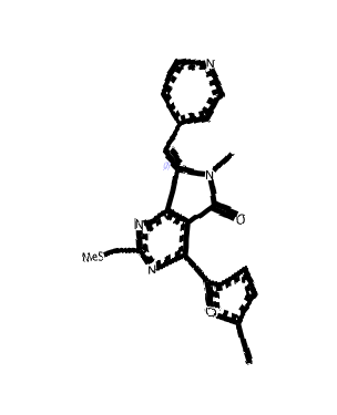 CSc1nc2c(c(-c3ccc(C)o3)n1)C(=O)N(C)/C2=C\c1ccncc1